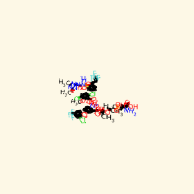 CCOC(=O)C(C)OC(=O)c1cc(Oc2ccc(C(F)(F)F)cc2Cl)ccc1[N+](=O)[O-].COc1c(Cl)ccc(Cl)c1C(=O)O.COc1nc(C)nc(NC(=O)NS(=O)(=O)c2ccccc2CCC(F)(F)F)n1.CP(=O)(O)CCC(N)C(=O)O